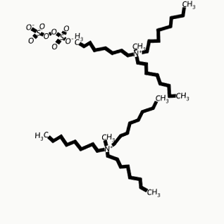 CCCCCCCC[N+](C)(CCCCCCCC)CCCCCCCC.CCCCCCCC[N+](C)(CCCCCCCC)CCCCCCCC.O=S(=O)([O-])OOS(=O)(=O)[O-]